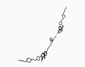 CCCCCC1CCC(CCC2CCC(c3ccc(OCCCCCCCCC(=O)CCCCCCCCOc4ccc(C5CCC(CCC6CCC(CCCCC)CC6)CC5)c(F)c4F)c(F)c3F)CC2)CC1